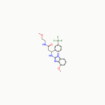 COCCNC(=O)CC(Nc1nc2c(OC)cccc2[nH]1)c1cccc(C(F)(F)F)c1